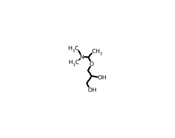 CC(OCC(O)CO)N(C)C